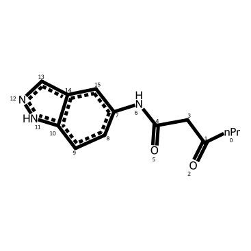 CCCC(=O)CC(=O)Nc1ccc2[nH]ncc2c1